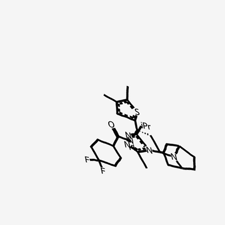 Cc1cc([C@H](CCN2C3CCC2CC(n2c(C)nnc2C(C)C)C3)NC(=O)C2CCC(F)(F)CC2)sc1C